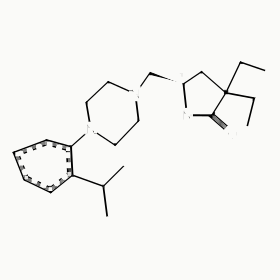 CCC1(CC)C[C@H](CN2CCN(c3ccccc3C(C)C)CC2)NC1=O